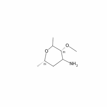 CO[C@@H]1C(N)C[C@H](C)OC1C